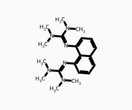 CN(C)C(=Nc1cccc2cccc(N=C(N(C)C)N(C)C)c12)N(C)C